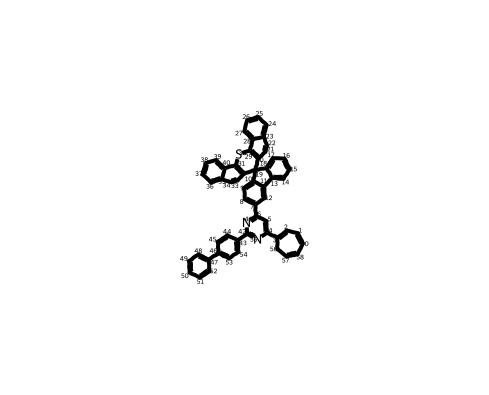 C1=CC=C(c2cc(-c3ccc4c(c3)-c3ccccc3C43c4ccc5ccccc5c4Sc4c3ccc3ccccc43)nc(-c3ccc(-c4ccccc4)cc3)n2)CC=C1